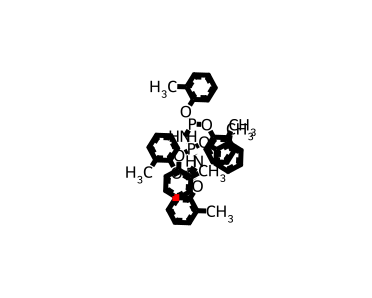 Cc1ccccc1OP(N[PH](N=[PH](Oc1ccccc1C)Oc1ccccc1C)(Oc1ccccc1C)Oc1ccccc1C)Oc1ccccc1C